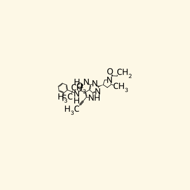 C=CC(=O)N1C[C@H](c2nc(N)c3c(C(=O)NC(C)(C)c4ccccc4F)c(C#CC)[nH]c3n2)C[C@@H]1C